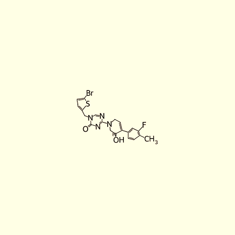 Cc1ccc(C2=CCN(c3ncn(Cc4ccc(Br)s4)c(=O)n3)C[C@@H]2O)cc1F